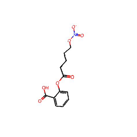 O=C(CCCCO[N+](=O)[O-])Oc1ccccc1C(=O)O